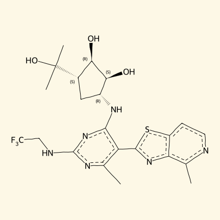 Cc1nc(NCC(F)(F)F)nc(N[C@@H]2C[C@H](C(C)(C)O)[C@@H](O)[C@H]2O)c1-c1nc2c(C)nccc2s1